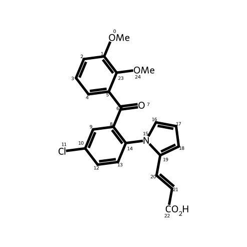 COc1cccc(C(=O)c2cc(Cl)ccc2-n2cccc2/C=C/C(=O)O)c1OC